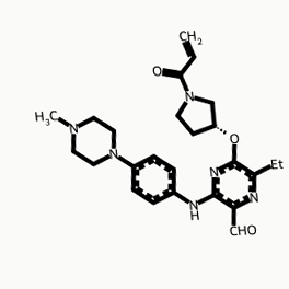 C=CC(=O)N1CC[C@@H](Oc2nc(Nc3ccc(N4CCN(C)CC4)cc3)c(C=O)nc2CC)C1